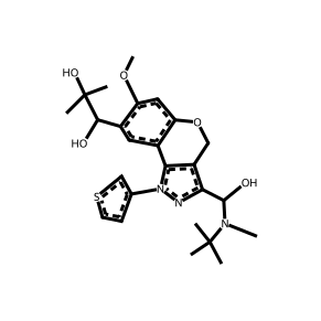 COc1cc2c(cc1C(O)C(C)(C)O)-c1c(c(C(O)N(C)C(C)(C)C)nn1-c1ccsc1)CO2